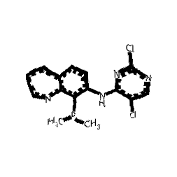 CP(C)c1c(Nc2nc(Cl)ncc2Cl)ccc2cccnc12